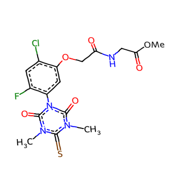 COC(=O)CNC(=O)COc1cc(-n2c(=O)n(C)c(=S)n(C)c2=O)c(F)cc1Cl